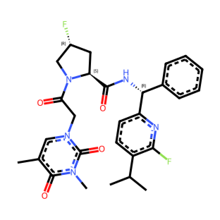 Cc1cn(CC(=O)N2C[C@H](F)C[C@H]2C(=O)N[C@H](c2ccccc2)c2ccc(C(C)C)c(F)n2)c(=O)n(C)c1=O